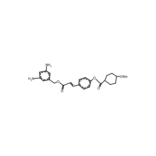 COC1CCC(C(=O)Oc2ccc(/C=C/C(=O)OCc3cc(N)cc(N)c3)cc2)CC1